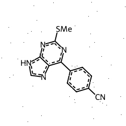 CSc1nc(-c2ccc(C#N)cc2)c2nc[nH]c2n1